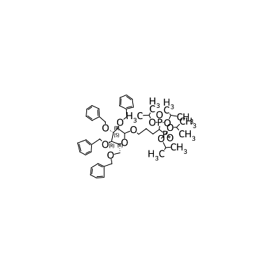 CC(C)OP(=O)(OC(C)C)C(CCCOC1O[C@H](COCc2ccccc2)[C@@H](OCc2ccccc2)[C@H](OCc2ccccc2)[C@H]1OCc1ccccc1)P(=O)(OC(C)C)OC(C)C